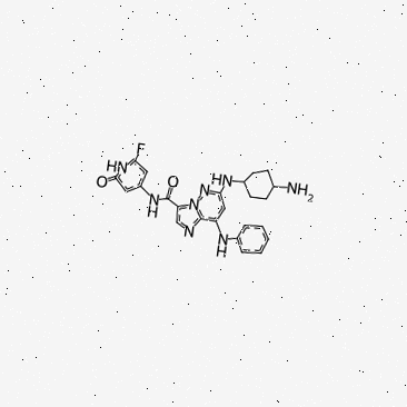 NC1CCC(Nc2cc(Nc3ccccc3)c3ncc(C(=O)Nc4cc(F)[nH]c(=O)c4)n3n2)CC1